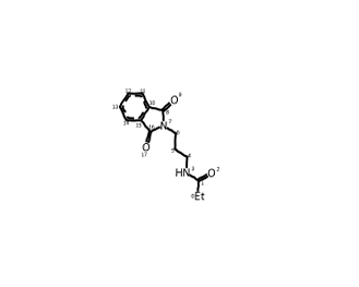 CCC(=O)NCCCN1C(=O)c2ccccc2C1=O